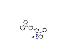 CCc1nc2cccc3c2n1-c1cc(-c2ccc(-n4c5ccccc5c5ccccc54)cc2)ccc1N3c1ccccc1